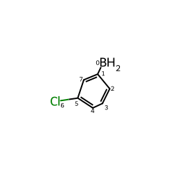 Bc1cccc(Cl)c1